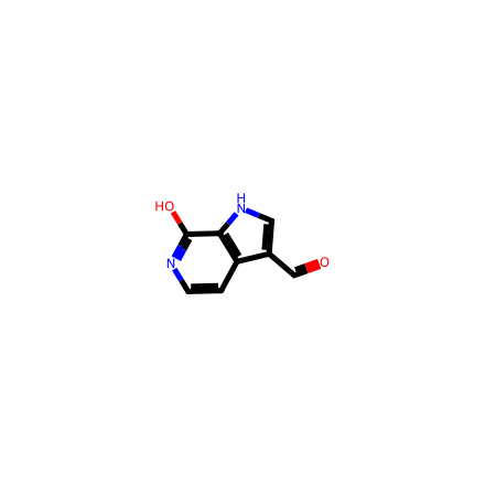 O=Cc1c[nH]c2c(O)nccc12